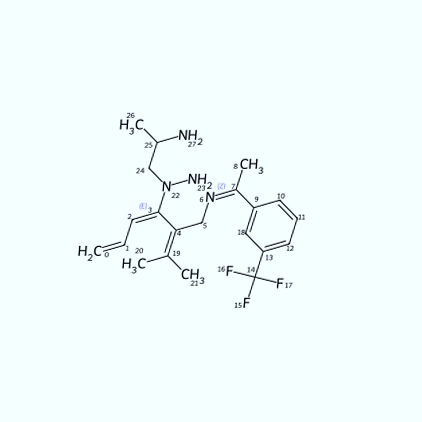 C=C/C=C(\C(C/N=C(/C)c1cccc(C(F)(F)F)c1)=C(C)C)N(N)CC(C)N